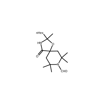 CCCCCCC1(C)NC(=O)C2(CC(C)(C)N(C=O)C(C)(C)C2)O1